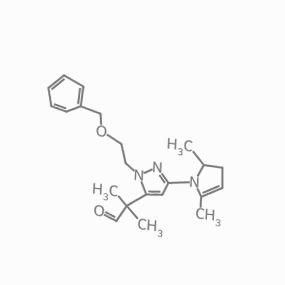 CC1=CCC(C)N1c1cc(C(C)(C)C=O)n(CCOCc2ccccc2)n1